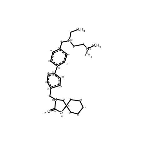 CCN(CCN(C)C)Cc1ccc(-c2ccc(CN3CC4(CCCCC4)OC3=O)cc2)cc1